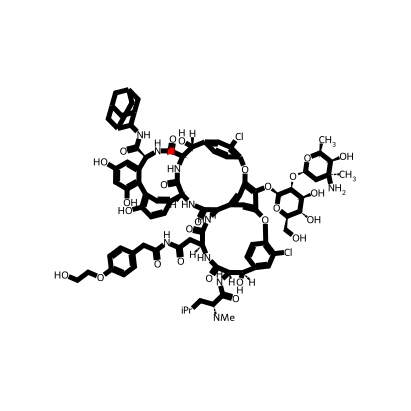 CN[C@H](CC(C)C)C(=O)N[C@H]1C(=O)N[C@@H](CC(=O)NC(=O)Cc2ccc(OCCO)cc2)C(=O)N[C@H]2C(=O)N[C@H]3C(=O)N[C@H](C(=O)N[C@H](C(=O)NC4C5CC6CC(C5)CC4C6)c4cc(O)cc(O)c4-c4cc3ccc4O)[C@H](O)c3ccc(c(Cl)c3)Oc3cc2cc(c3O[C@@H]2O[C@H](CO)[C@@H](O)[C@H](O)[C@H]2O[C@H]2C[C@](C)(N)[C@H](O)[C@H](C)O2)Oc2ccc(cc2Cl)[C@H]1O